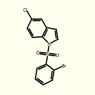 O=S(=O)(c1ccccc1Br)n1ccc2cc(Cl)ccc21